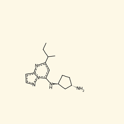 CCC(C)c1cc(N[C@H]2CC[C@H](N)C2)n2nccc2n1